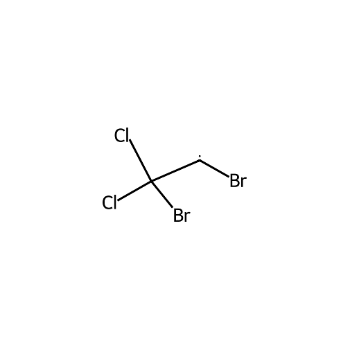 ClC(Cl)(Br)[CH]Br